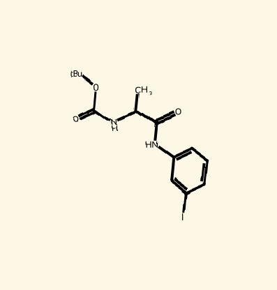 CC(NC(=O)OC(C)(C)C)C(=O)Nc1cccc(I)c1